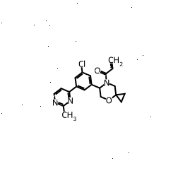 C=CC(=O)N1CC2(CC2)OCC1c1cc(Cl)cc(-c2ccnc(C)n2)c1